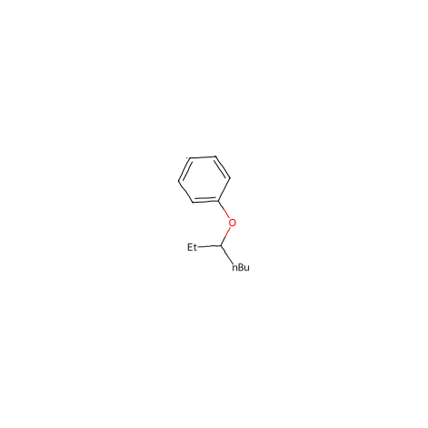 CCCCC(CC)Oc1cc[c]cc1